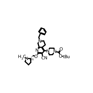 CN1CCC[C@H]1COc1nc2c(c(N3CCN(C(=O)OC(C)(C)C)CC3)c1C#N)CCN(Cc1ccccc1)C2